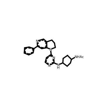 CC(=O)NC1CCC(Nc2nccc(N3CCCc4cnc(-c5ccccc5)cc43)n2)CC1